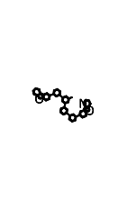 Cc1cc(-c2cccc(-c3cccc(-c4ccc5oc6cccnc6c5c4)c3)c2)cc(-c2cccc(-c3ccc4oc5ccccc5c4c3)c2)c1